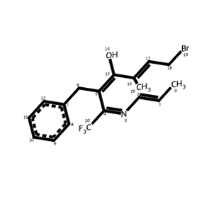 C/C=C/N=C(\C(Cc1ccccc1)=C(O)/C(C)=C/CBr)C(F)(F)F